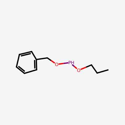 CCCOPOCc1ccccc1